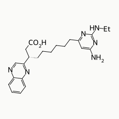 CCNc1nc(N)cc(CCCCCC[C@@H](CC(=O)O)c2cnc3ccccc3n2)n1